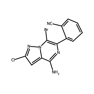 N#Cc1ccccc1-c1nc(N)c2cc(Cl)nn2c1Br